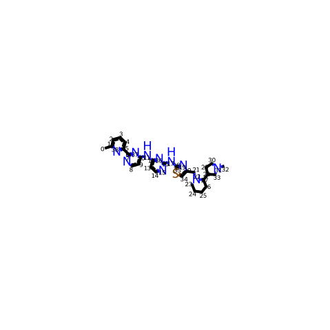 Cc1cccc(-c2nccc(Nc3ccnc(Nc4nc(CN5CCCCC5C5CCN(C)C5)cs4)n3)n2)n1